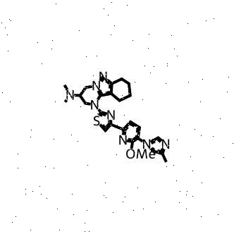 COc1nc(-c2csc(N3CC(N(C)C)Cn4nc5c(c43)CCCC5)n2)ccc1-n1cnc(C)c1